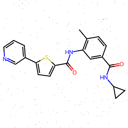 Cc1ccc(C(=O)NC2CC2)cc1NC(=O)c1ccc(-c2cccnc2)s1